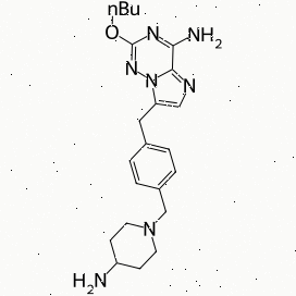 CCCCOc1nc(N)c2ncc(Cc3ccc(CN4CCC(N)CC4)cc3)n2n1